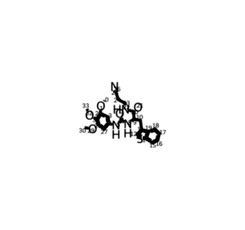 COc1cc(NC(=O)NC(Cc2csc3ccccc23)C(=O)NCCC#N)cc(OC)c1OC